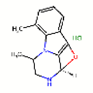 Cc1cccc2c3c4n(c12)C(C)CN[C@@H]4O3.Cl